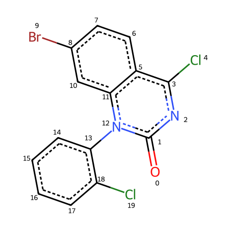 O=c1nc(Cl)c2ccc(Br)cc2n1-c1ccccc1Cl